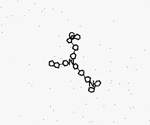 c1cc(-c2ccc(N(c3ccc(-c4ccc(-c5ccc(-n6c7ccccc7c7ccccc76)cc5)cc4)cc3)c3ccc(-c4ccc5ccccc5c4)cc3)cc2)cc(-c2cccc3oc4ccccc4c23)c1